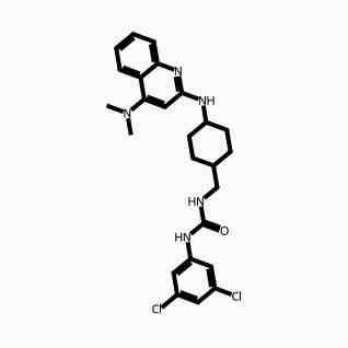 CN(C)c1cc(NC2CCC(CNC(=O)Nc3cc(Cl)cc(Cl)c3)CC2)nc2ccccc12